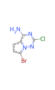 Nc1nc(Cl)nn2c(Br)ccc12